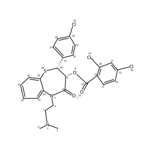 CN(C)CCN1C(=O)[C@@H](OC(=O)c2ccc(Cl)cc2Cl)[C@@H](c2ccc(Cl)cc2)Sc2ccccc21